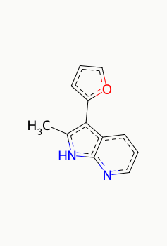 Cc1[nH]c2ncccc2c1-c1ccco1